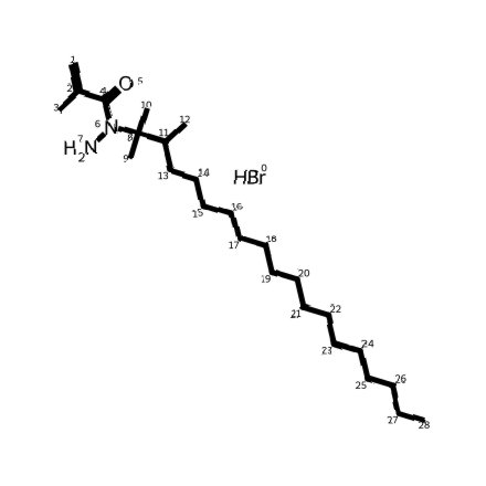 Br.C=C(C)C(=O)N(N)C(C)(C)C(C)CCCCCCCCCCCCCCCC